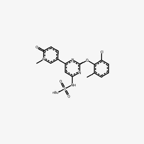 CCCCS(=O)(=O)Nc1cc(-c2ccc(=O)n(C)c2)nc(Oc2c(C)cccc2Cl)n1